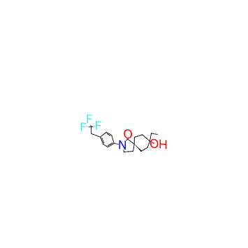 CC[C@]1(O)CC[C@]2(CCN(c3ccc(CC(F)(F)F)cc3)C2=O)CC1